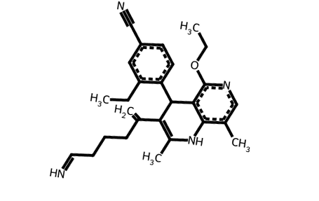 C=C(CCCC=N)C1=C(C)Nc2c(C)cnc(OCC)c2C1c1ccc(C#N)cc1CC